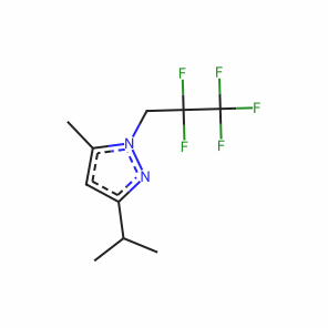 Cc1cc(C(C)C)nn1CC(F)(F)C(F)(F)F